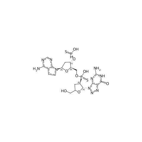 Nc1nc2c(nnn2[C@@H]2OC(CO)C[C@H]2P(O)(=S)OC[C@H]2O[C@@H](n3ccc4c(N)ncnc43)C[C@@H]2O[PH](O)=S)c(=O)[nH]1